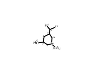 CCCCN1CC(O)CC(C(F)F)C1